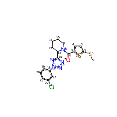 CSc1ccc(C(=O)N2CCCCC2c2nnn(-c3cccc(Cl)c3)n2)s1